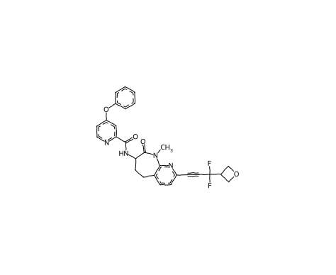 CN1C(=O)C(NC(=O)c2cc(Oc3ccccc3)ccn2)CCc2ccc(C#CC(F)(F)C3COC3)nc21